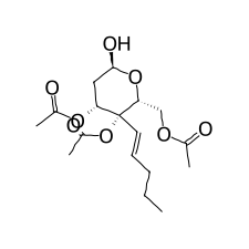 CCCC=C[C@@]1(OC(C)=O)[C@H](OC(C)=O)C[C@@H](O)O[C@@H]1COC(C)=O